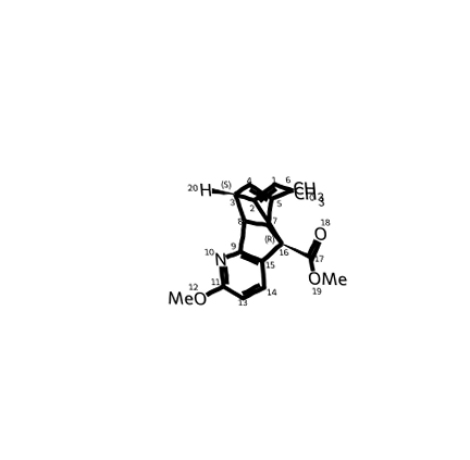 CC=C1[C@H]2C=C(C)C3C2c2nc(OC)ccc2[C@]13C(=O)OC